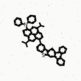 CC(C)c1cc2c(N(c3ccccc3)c3ccccc3)ccc3c(C(C)C)cc4c(-c5ccc6sc7cc8c9ccccc9c9ccccc9c8cc7c6c5)ccc1c4c32